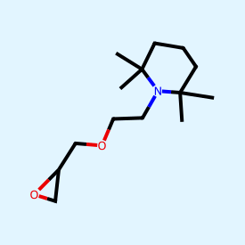 CC1(C)CCCC(C)(C)N1CCOCC1CO1